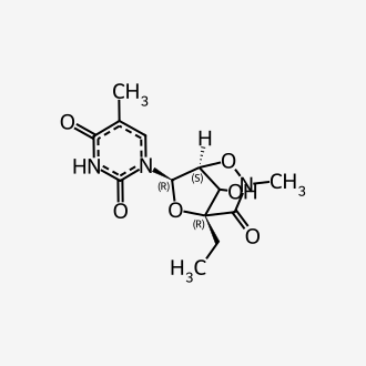 CC[C@]12O[C@@H](n3cc(C)c(=O)[nH]c3=O)[C@@H](ON(C)C1=O)C2O